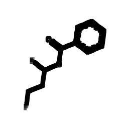 O=C(OC(F)CCF)c1ccccc1